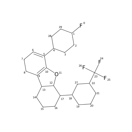 FC1CCC(C2=CCCC3=C2OC2C3CCCC2C2CCCC(C(F)(F)F)C2)CC1